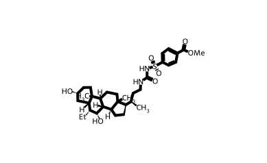 CC[C@H]1[C@@H](O)[C@H]2[C@@H]3CC[C@H]([C@H](C)CCNC(=O)NS(=O)(=O)c4ccc(C(=O)OC)cc4)C3(C)CC[C@@H]2[C@@]2(C)CC[C@@H](O)C[C@@H]12